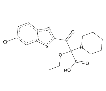 CCOC(C(=O)O)(C(=O)c1nc2ccc(Cl)cc2s1)N1CCCCC1